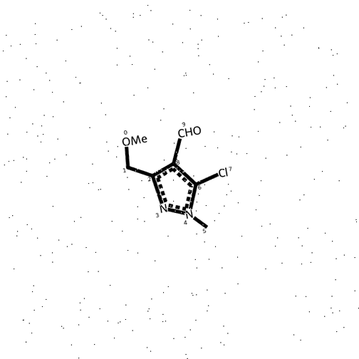 COCc1nn(C)c(Cl)c1C=O